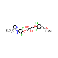 CCOC(=O)c1cccnc1Nc1cc(Cl)c(OCC[C@@H](O)[C@H](O)CCOc2c(Cl)cc(CCC(=O)OC)cc2Cl)c(Cl)c1